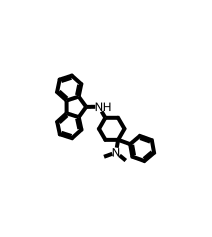 CN(C)C1(c2ccccc2)CCC(NC2c3ccccc3-c3ccccc32)CC1